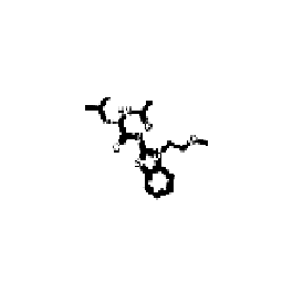 COCCn1/c(=N/C(=O)[C@H](CC(C)C)NC(C)=O)sc2ccccc21